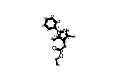 CCOC(=O)Cc1c(C)nn(-c2ccccc2)c1C